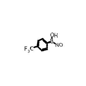 O=NB(O)c1ccc(C(F)(F)F)cc1